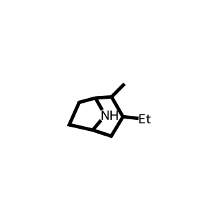 CCC1CC2CCC(N2)C1C